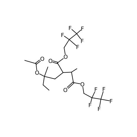 CCC(C)(CC(C(=O)OCC(F)(F)C(F)(F)F)C(C)C(=O)OCC(F)(F)C(F)(F)F)OC(C)=O